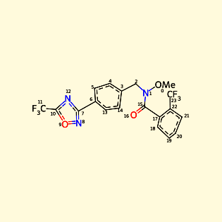 CON(Cc1ccc(-c2noc(C(F)(F)F)n2)cc1)C(=O)c1ccccc1C(F)(F)F